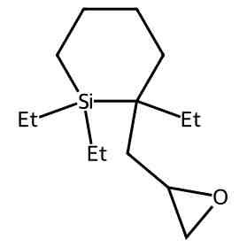 CCC1(CC2CO2)CCCC[Si]1(CC)CC